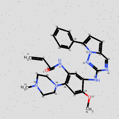 C=CC(=O)Nc1cc(Nc2ncc3ccc(-c4ccccc4)n3n2)c(OC)cc1N1CCN(C)CC1